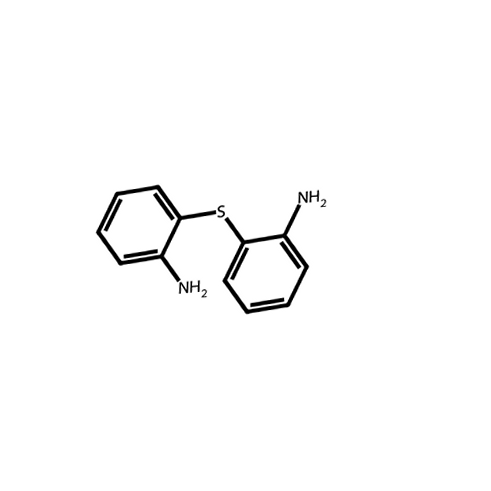 Nc1ccccc1Sc1ccccc1N